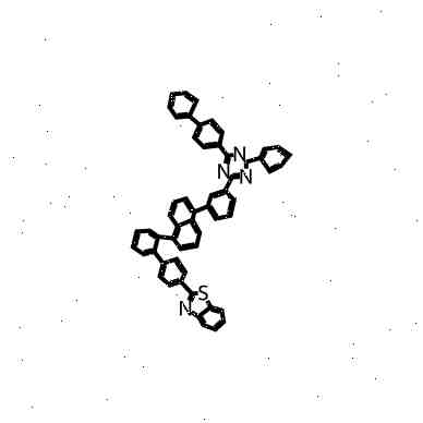 c1ccc(-c2ccc(-c3nc(-c4ccccc4)nc(-c4cccc(-c5cccc6c(-c7ccccc7-c7ccc(-c8nc9ccccc9s8)cc7)cccc56)c4)n3)cc2)cc1